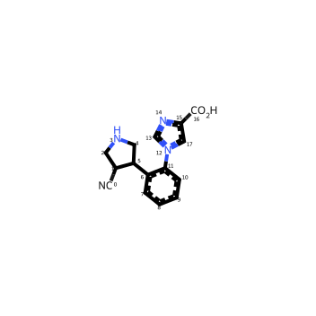 N#CC1CNCC1c1ccccc1-n1cnc(C(=O)O)c1